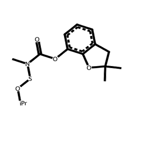 CC(C)OSN(C)C(=O)Oc1cccc2c1OC(C)(C)C2